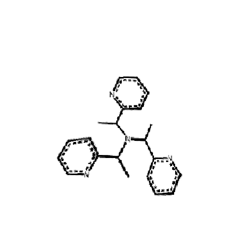 CC(c1ccccn1)N(C(C)c1ccccn1)C(C)c1ccccn1